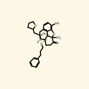 CC12Oc3c(O)ccc4c3[C@@]13CCN(CC1CCCO1)[C@H](C4)[C@]3(OCCCc1ccccc1)CCC2=O